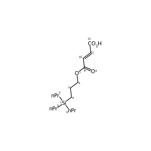 CCC[Si](CCC)(CCC)CCCOC(=O)/C=C/C(=O)O